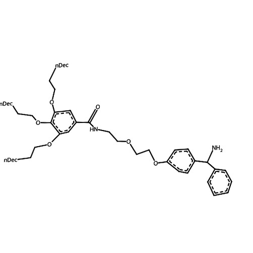 CCCCCCCCCCCCOc1cc(C(=O)NCCOCCOc2ccc(C(N)c3ccccc3)cc2)cc(OCCCCCCCCCCCC)c1OCCCCCCCCCCCC